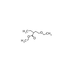 CCOCCC(CC)C(=O)OCC